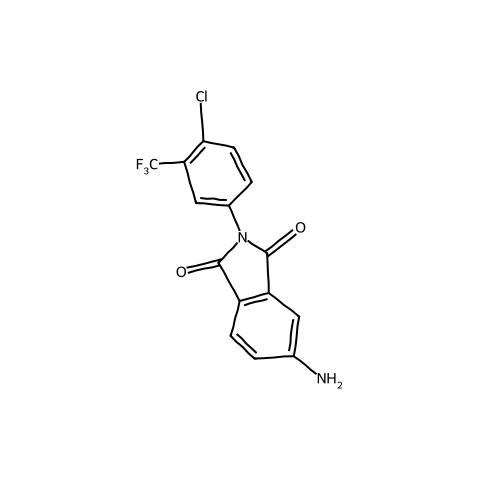 Nc1ccc2c(c1)C(=O)N(c1ccc(Cl)c(C(F)(F)F)c1)C2=O